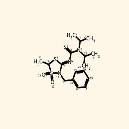 CC(C)N(C(=S)/N=C1\SC(C)S(=O)(=O)N1Cc1ccccc1)C(C)C